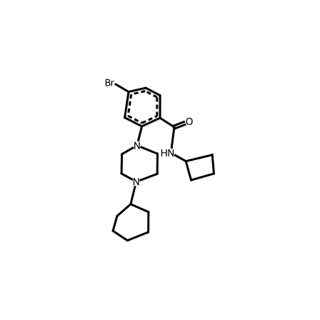 O=C(NC1CCC1)c1ccc(Br)cc1N1CCN(C2CCCCC2)CC1